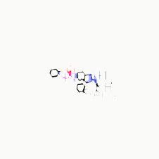 C=CC[N@@+]1(C)CC[C@@]2(c3cccc(OC(C)=O)c3)C[C@H](NC(=O)OCc3ccccc3)CCC2C1